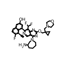 C#Cc1c(F)ccc2cc(O)cc(-c3ncc4c(N5CCCCC(N)C5)nc(OCC5(CN6CCOCC6)CC5)nc4c3C(F)F)c12